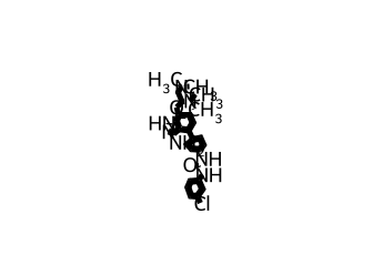 CN(C)CC(Oc1ccc(-c2ccc(NC(=O)Nc3cccc(Cl)c3)cc2)c2c(N)n[nH]c12)N(C)C